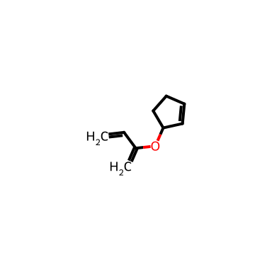 C=CC(=C)OC1C=CCC1